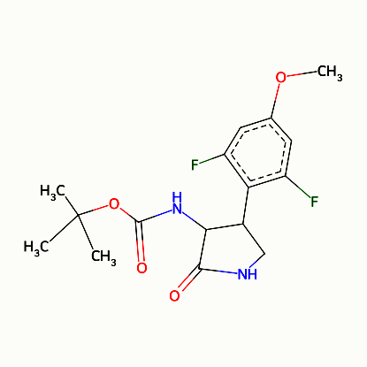 COc1cc(F)c(C2CNC(=O)C2NC(=O)OC(C)(C)C)c(F)c1